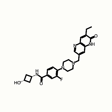 CCc1cc2ncc(CN3CCN(c4ccc(C(=O)N[C@H]5C[C@@H](O)C5)cc4F)CC3)cc2[nH]c1=O